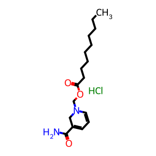 CCCCCCCCCC(=O)OCN1C=CC=C(C(N)=O)C1.Cl